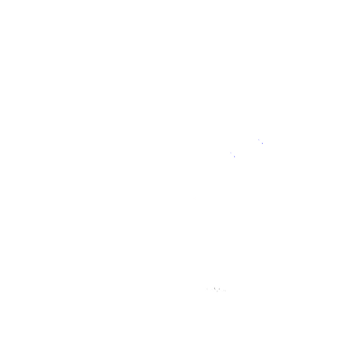 COc1ccc(COC/C(=C\CCCCC(=O)O)Cn2ccnc2)cc1